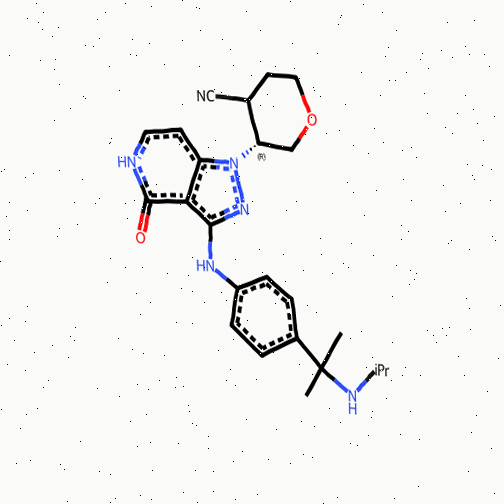 CC(C)NC(C)(C)c1ccc(Nc2nn([C@H]3COCCC3C#N)c3cc[nH]c(=O)c23)cc1